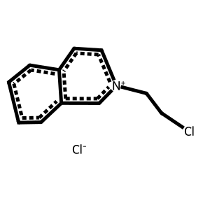 ClCC[n+]1ccc2ccccc2c1.[Cl-]